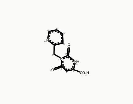 O=C(O)c1cc(=O)n(Cc2ccccn2)c(=O)[nH]1